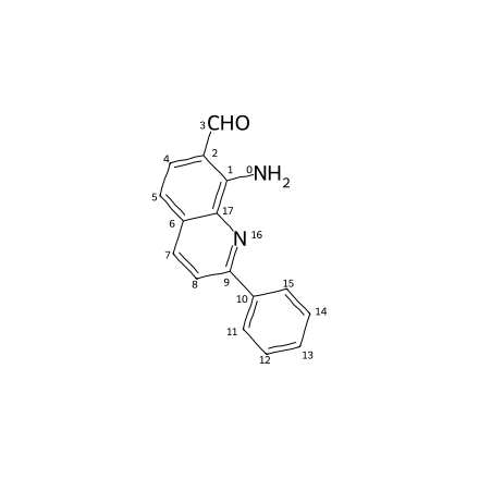 Nc1c(C=O)ccc2ccc(-c3ccccc3)nc12